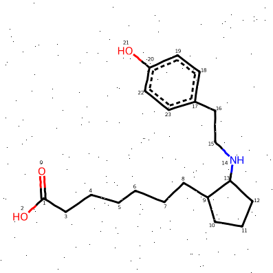 O=C(O)CCCCCCC1CCCC1NCCc1ccc(O)cc1